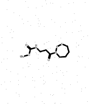 CC(C)(C)OC(=O)NCCC(=O)N1CCCCSS1